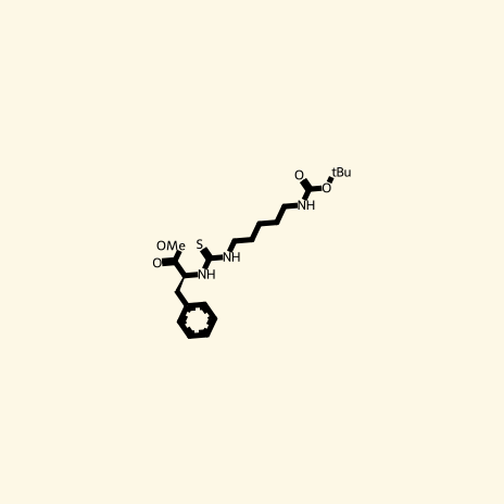 COC(=O)[C@H](Cc1ccccc1)NC(=S)NCCCCCNC(=O)OC(C)(C)C